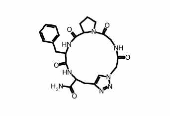 NC(=O)C1Cc2cn(nn2)CC(=O)NCC(=O)N2CCCC2C(=O)NC(Cc2ccccc2)C(=O)N1